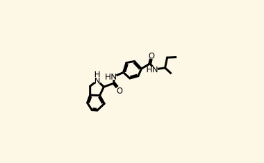 CCC(C)NC(=O)c1ccc(NC(=O)C2NCc3ccccc32)cc1